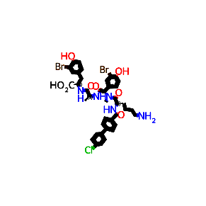 C[C@H](NC(=O)[C@H](c1ccc(O)c(Br)c1)N(C)C(=O)[C@H](CCCCN)NC(=O)c1ccc(-c2ccc(Cl)cc2)cc1)C(=O)N[C@@H](Cc1ccc(O)c(Br)c1)C(=O)O